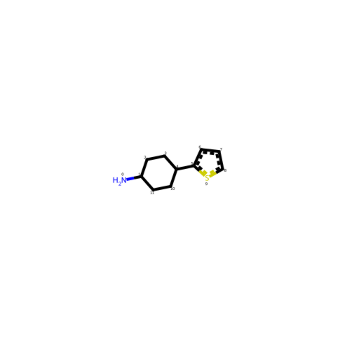 NC1CCC(c2cccs2)CC1